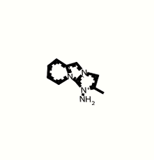 Cc1cn2cc3ccccn3c2[n+]1N